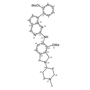 COc1ccccc1-c1ccc2cnc(Nc3ccc4c(c3OC)CN(C3CCN(C)CC3)C4)nn12